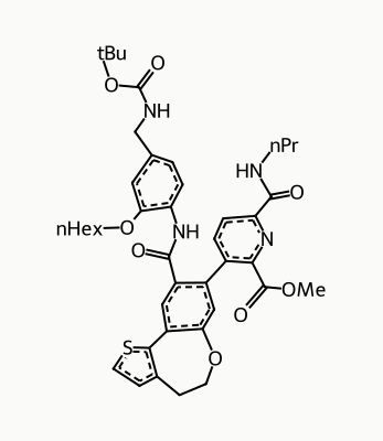 CCCCCCOc1cc(CNC(=O)OC(C)(C)C)ccc1NC(=O)c1cc2c(cc1-c1ccc(C(=O)NCCC)nc1C(=O)OC)OCCc1ccsc1-2